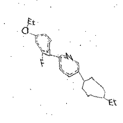 CCOc1ccc(-c2ccc(C3CCC(CC)CC3)cn2)c(F)c1